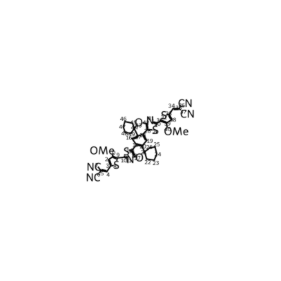 COc1cc(C=C(C#N)C#N)sc1-c1nc2c(s1)-c1cc3c(cc1C1(CCCCC1)O2)-c1sc(-c2sc(C=C(C#N)C#N)cc2OC)nc1OC31CCCCC1